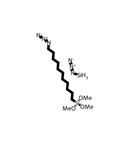 CO[Si](CCCCCCCCCCCN=[N+]=[N-])(OC)OC.[N-]=[N+]=N[SiH3]